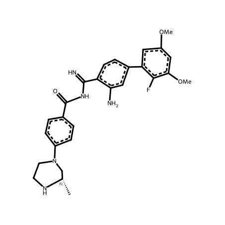 COc1cc(OC)c(F)c(-c2ccc(C(=N)NC(=O)c3ccc(N4CCN[C@@H](C)C4)cc3)c(N)c2)c1